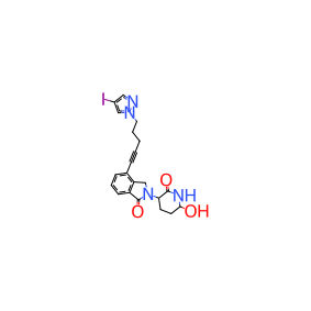 O=C1NC(O)CCC1N1Cc2c(C#CCCCn3cc(I)cn3)cccc2C1=O